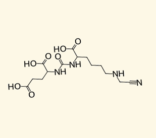 N#CCNCCCCC(NC(=O)NC(CCC(=O)O)C(=O)O)C(=O)O